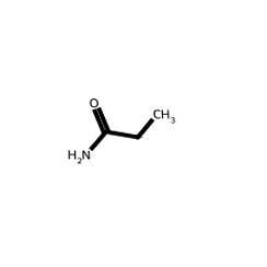 C[CH]C(N)=O